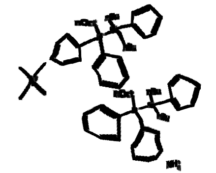 CCCCCCCC[B-](c1ccccc1)(c1ccccc1)[Si](CCCC)(CCCC)c1ccccc1.CCCCCCCC[B-](c1ccccc1)(c1ccccc1)[Si](CCCC)(CCCC)c1ccccc1.C[N+](C)(C)C.[NH4+]